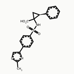 Cc1nc(-c2ccc(S(=O)(=O)NC3(C(=O)O)C[C@H]3c3ccccc3)cc2)cs1